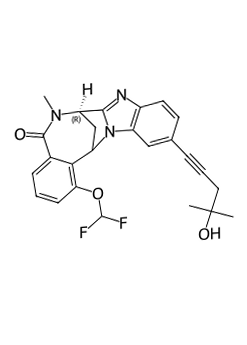 CN1C(=O)c2cccc(OC(F)F)c2C2C[C@@H]1c1nc3ccc(C#CCC(C)(C)O)cc3n12